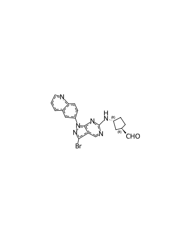 O=C[C@@H]1CC[C@@H](Nc2ncc3c(Br)nn(-c4ccc5ncccc5c4)c3n2)C1